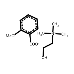 COc1ccccc1C(=O)[O-].C[N+](C)(C)CCO